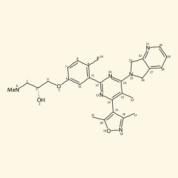 CNC[C@@H](O)COc1ccc(F)c(-c2nc(-c3c(C)noc3C)c(C)c(N3Cc4cccnc4C3)n2)c1